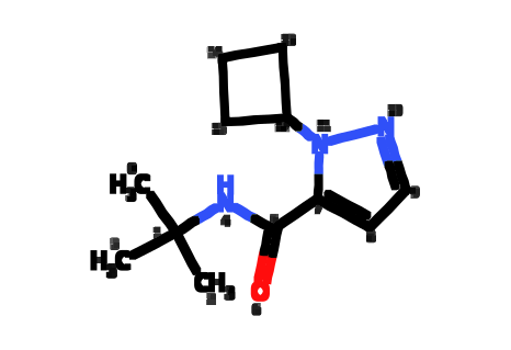 CC(C)(C)NC(=O)c1ccnn1C1CCC1